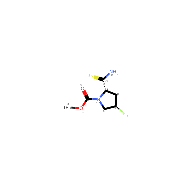 CC(C)(C)OC(=O)N1C[C@H](F)C[C@H]1C(N)=S